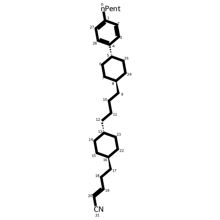 CCCCCc1ccc([C@H]2CC[C@H](CCCC[C@H]3CC[C@H](CC/C=C/C#N)CC3)CC2)cc1